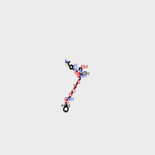 Cc1ncsc1-c1ccc(CNC(=O)[C@@H]2C[C@@H](O)CN2C(=O)[C@@H](NC(=O)CCOCCOCCOCCOCCNC(=O)OCC2[C@H]3CCC#CCC[C@@H]23)C(C)(C)C)cc1